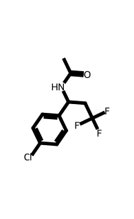 CC(=O)NC(CC(F)(F)F)c1ccc(Cl)cc1